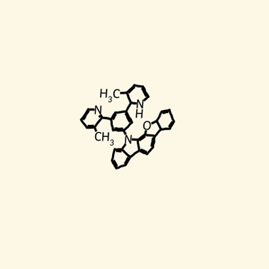 CC1=CC=CNC1c1cc(-c2ncccc2C)cc(-n2c3ccccc3c3ccc4c(c32)OC2C=CC=CC42)c1